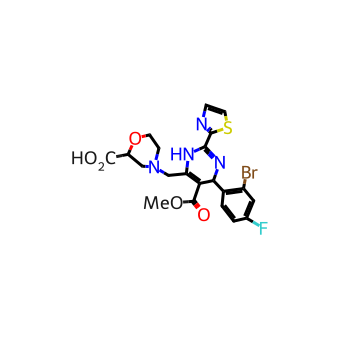 COC(=O)C1=C(CN2CCOC(C(=O)O)C2)NC(c2nccs2)=NC1c1ccc(F)cc1Br